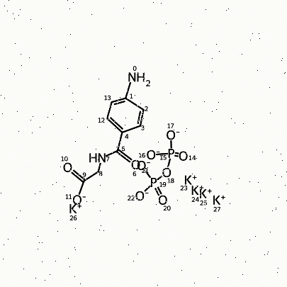 Nc1ccc(C(=O)NCC(=O)[O-])cc1.O=P([O-])([O-])OP(=O)([O-])[O-].[K+].[K+].[K+].[K+].[K+]